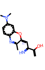 C=C(O)C(=N)/C=C1/Oc2cc(N(C)C)ccc2N=C1C